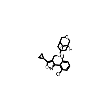 O=C1C2COC[C@@H]1CC(OCc1c(-c3c(Cl)cccc3Cl)noc1C1CC1)C2